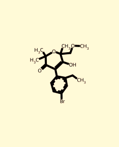 CCc1cc(Br)ccc1C1=C(O)C(C)(COC)OC(C)(C)C1=O